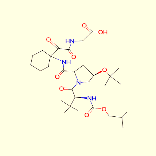 CC(C)COC(=O)N[C@H](C(=O)N1C[C@H](OC(C)(C)C)C[C@H]1C(=O)NC1(C(=O)C(=O)NCC(=O)O)CCCCC1)C(C)(C)C